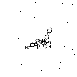 CCc1ccc(C(C)(C)c2c(C(=O)O)c3ccc(C#N)cc3n2C(C)(C)C)cc1N1CCC(N2CCOCC2)CC1.Cl